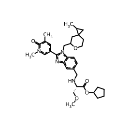 COC[C@H](NCc1ccc2c(c1)nc(-c1cc(C)c(=O)n(C)c1)n2CC1CC2(CCO1)CC2C)C(=O)OC1CCCC1